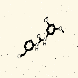 COc1cc(NC(=O)Nc2cccc(C=O)c2)cc(OC)c1